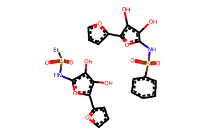 CCS(=O)(=O)Nc1oc(-c2ccco2)c(O)c1O.O=S(=O)(Nc1oc(-c2ccco2)c(O)c1O)c1ccccc1